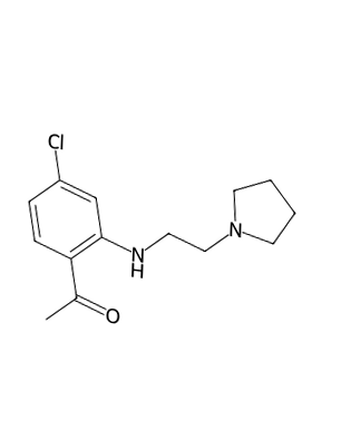 CC(=O)c1ccc(Cl)cc1NCCN1CCCC1